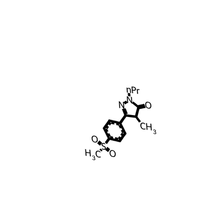 CCCN1N=C(c2ccc(S(C)(=O)=O)cc2)C(C)C1=O